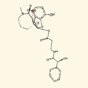 CN1CCC[C@]23c4c5ccc(O)c4O[C@H]2C(OC(=O)CCNC(=O)[C@@H](O)c2ccccc2)=CC[C@@]3(O)[C@H]1C5